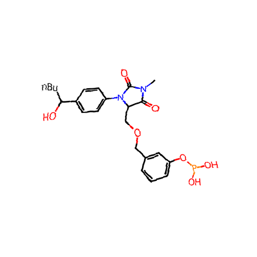 CCCCC(O)c1ccc(N2C(=O)N(C)C(=O)C2COCc2cccc(OP(O)O)c2)cc1